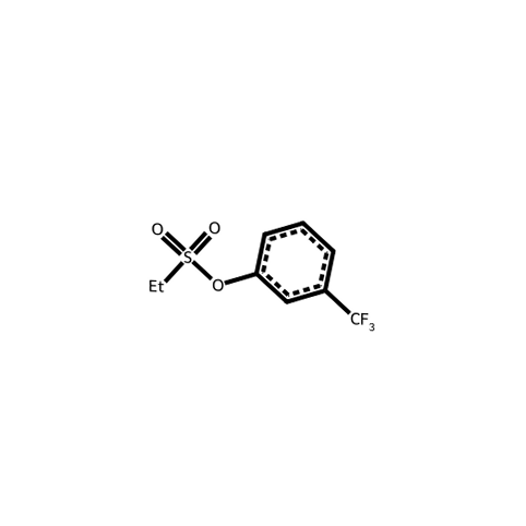 CCS(=O)(=O)Oc1cccc(C(F)(F)F)c1